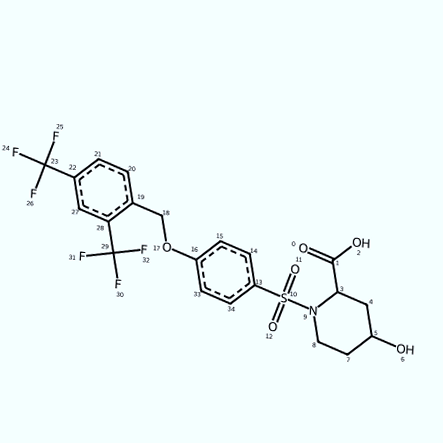 O=C(O)C1CC(O)CCN1S(=O)(=O)c1ccc(OCc2ccc(C(F)(F)F)cc2C(F)(F)F)cc1